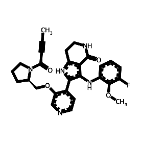 CC#CC(=O)N1CCC[C@@H]1COc1cnccc1-c1[nH]c2c(c1Nc1cccc(F)c1OC)C(=O)NCC2